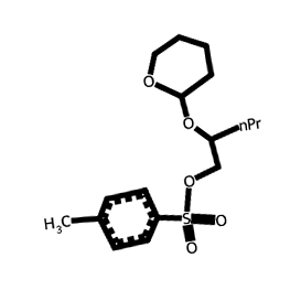 CCCC(COS(=O)(=O)c1ccc(C)cc1)OC1CCCCO1